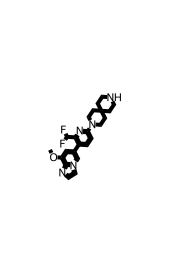 COc1cc(-c2ccc(N3CCC4(CCNCC4)CC3)nc2C(F)F)cn2ccnc12